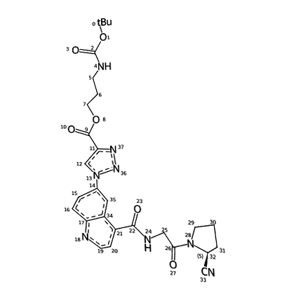 CC(C)(C)OC(=O)NCCCOC(=O)c1cn(-c2ccc3nccc(C(=O)NCC(=O)N4CCC[C@H]4C#N)c3c2)nn1